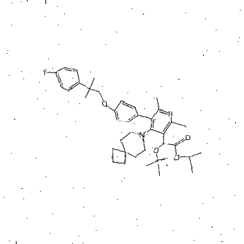 Cc1nc(C)c(C(OC(C)(C)C)C(=O)OC(C)C)c(N2CCC3(CCC3)CC2)c1-c1ccc(OCC(C)(C)c2ccc(F)cc2)cc1